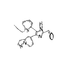 CCc1cccc(-c2[nH]c(C=O)nc2-c2ccn3nccc3c2)n1